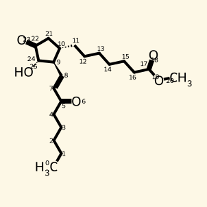 CCCCCC(=O)C=C[C@@H]1[C@@H](CCCCCCC(=O)OC)CC(=O)[C@H]1O